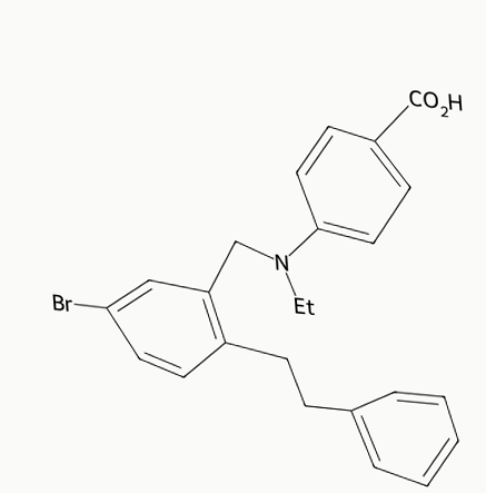 CCN(Cc1cc(Br)ccc1CCc1ccccc1)c1ccc(C(=O)O)cc1